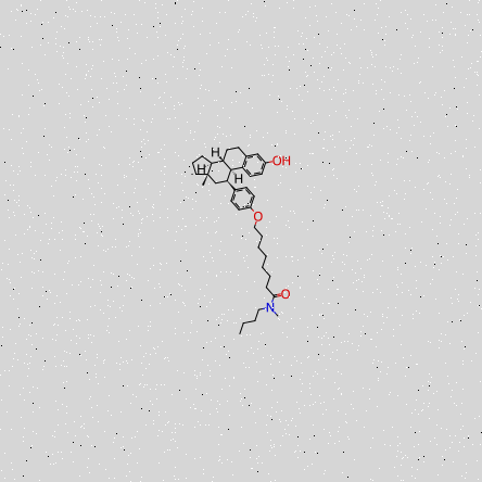 CCCCN(C)C(=O)CCCCCCCOc1ccc([C@H]2C[C@]3(C)[CH]CC[C@H]3[C@@H]3CCc4cc(O)ccc4[C@H]32)cc1